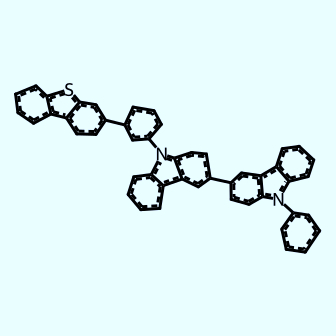 c1ccc(-n2c3ccccc3c3cc(-c4ccc5c(c4)c4ccccc4n5-c4cccc(-c5ccc6c(c5)sc5ccccc56)c4)ccc32)cc1